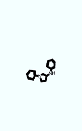 c1ccc(NC2CCN(c3ccccc3)C2)cc1